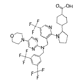 O=C(O)C1CCC(C2CCCN2c2ncc(C(F)(F)F)cc2CN(Cc2cc(C(F)(F)F)cc(C(F)(F)F)c2)c2ncc(N3CCOCC3)cn2)CC1